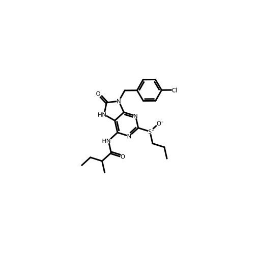 CCC[S+]([O-])c1nc(NC(=O)C(C)CC)c2[nH]c(=O)n(Cc3ccc(Cl)cc3)c2n1